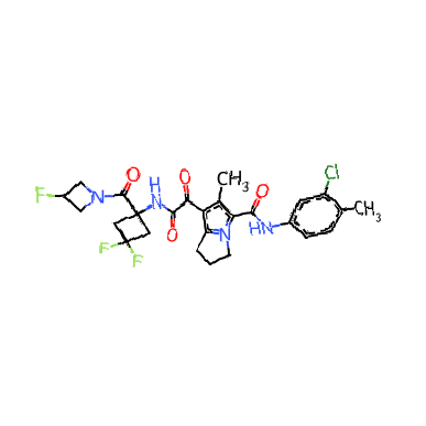 Cc1ccc(NC(=O)c2c(C)c(C(=O)C(=O)NC3(C(=O)N4CC(F)C4)CC(F)(F)C3)c3n2CCC3)cc1Cl